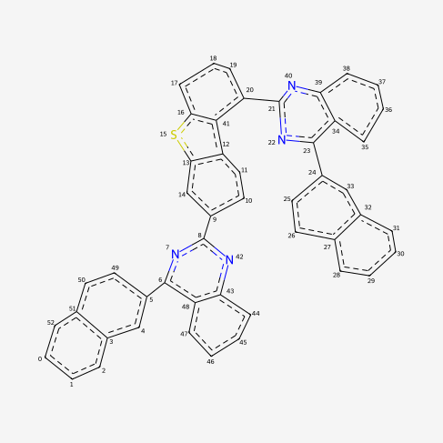 c1ccc2cc(-c3nc(-c4ccc5c(c4)sc4cccc(-c6nc(-c7ccc8ccccc8c7)c7ccccc7n6)c45)nc4ccccc34)ccc2c1